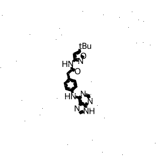 CC(C)(C)c1cc(NC(=O)Cc2ccc(Nc3ncnc4[nH]cnc34)cc2)no1